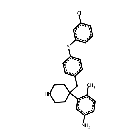 Cc1ccc(N)cc1C1(Cc2ccc(Sc3cccc(Cl)c3)cc2)CCNCC1